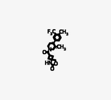 Cc1ccc([C@@H]2CCN(C(=O)C3CC4(COC(=O)N4)C3)C[C@@H]2C)cc1C(F)(F)F